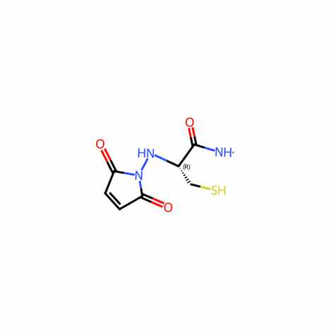 [NH]C(=O)[C@H](CS)NN1C(=O)C=CC1=O